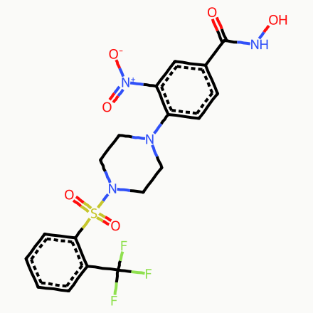 O=C(NO)c1ccc(N2CCN(S(=O)(=O)c3ccccc3C(F)(F)F)CC2)c([N+](=O)[O-])c1